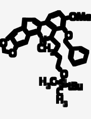 COc1ccc2c(c1OCc1ccccc1)C(CCCCO[Si](C)(C)C(C)(C)C)N(C)c1c-2ccc2cc3c(cc12)OCO3